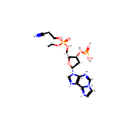 CCOP(=O)(OCCC#N)OC[C@H]1O[C@@H](n2cnc3c2ncn2ccnc32)C[C@@H]1O[PH](=O)O